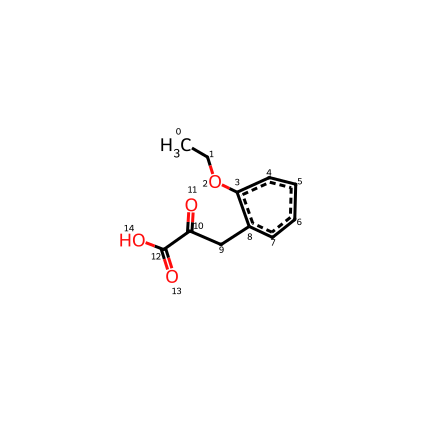 CCOc1ccccc1CC(=O)C(=O)O